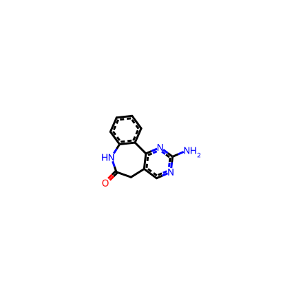 Nc1ncc2c(n1)-c1ccccc1NC(=O)C2